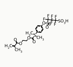 C=C(C)C(=O)OCCOC(=O)S(C)(C)c1ccc(OS(=O)(=O)C(F)(F)C(F)(F)C(F)(F)S(=O)(=O)O)cc1